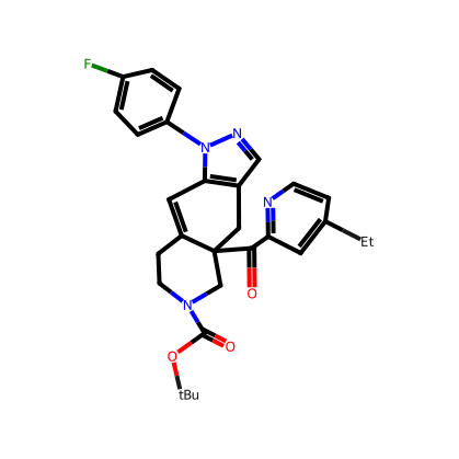 CCc1ccnc(C(=O)C23Cc4cnn(-c5ccc(F)cc5)c4C=C2CCN(C(=O)OC(C)(C)C)C3)c1